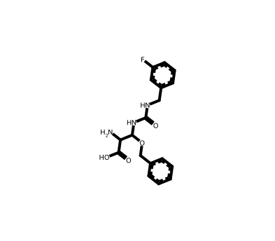 NC(C(=O)O)C(NC(=O)NCc1cccc(F)c1)OCc1ccccc1